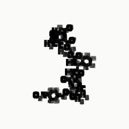 CC1(C)S[C@@H]2C(NC(=O)C(NC(=O)OCOC(=O)[C@@H]3N4C(=O)C[C@H]4S(=O)(=O)C3(C)C)c3ccccc3)C(=O)N2[C@H]1C(=O)OCc1ccc([N+](=O)[O-])cc1